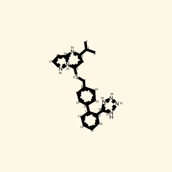 CC(C)c1cc(SCc2ccc(-c3ccccc3-c3nnn[nH]3)cc2)n2nccc2n1